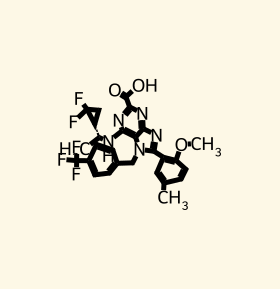 COc1ccc(C)cc1-c1nc2nc(C(=O)O)nc(NC(C)[C@H]3CC3(F)F)c2n1Cc1ccc(C(F)(F)F)cc1